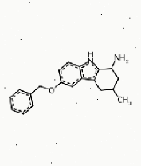 CC1Cc2c([nH]c3ccc(OCc4ccccc4)cc23)C(N)C1